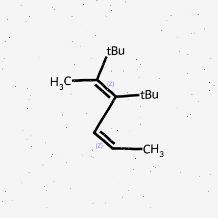 C/C=C\C(=C(/C)C(C)(C)C)C(C)(C)C